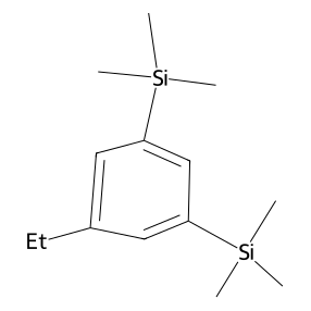 CCc1cc([Si](C)(C)C)cc([Si](C)(C)C)c1